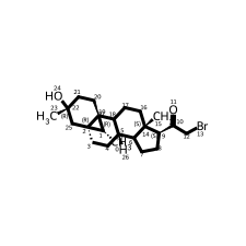 C[C@@H]1[C@]23CC[C@H]4C5CC[C@H](C(=O)CBr)[C@@]5(C)CCC4[C@]12CC[C@@](C)(O)C3